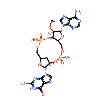 CC(C)O[C@@H]1[C@@H]2OP(=O)(O)OCC3C[C@@H](OP(=O)(O)OCC2O[C@H]1n1cnc2c(N)ncnc21)[C@H](n1cnc2c(=O)[nH]c(N)nc21)O3